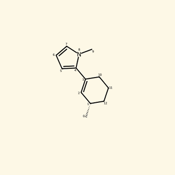 C[C@@H]1C=C(c2cccn2C)CCC1